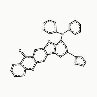 O=c1c2ccccc2oc2cc3c(cc12)oc1c(N(c2ccccc2)c2ccccc2)cc(-c2ccco2)cc13